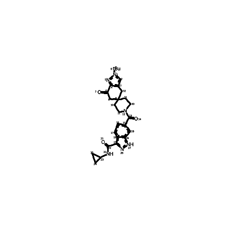 CC(C)(C)n1cc2c(n1)C(=O)CC1(CCN(C(=O)c3ccc4c(C(=O)NC5CC5)n[nH]c4c3)CC1)C2